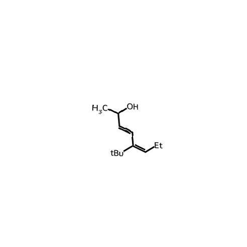 CCC=C(C=CC(C)O)C(C)(C)C